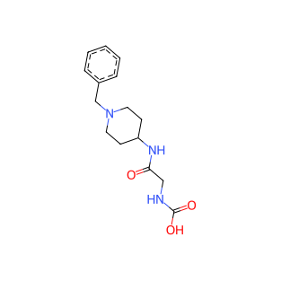 O=C(O)NCC(=O)NC1CCN(Cc2ccccc2)CC1